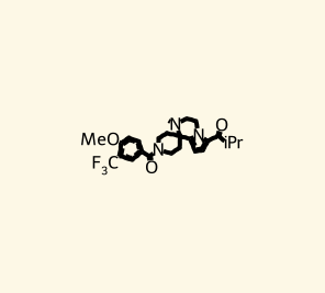 COc1ccc(C(=O)N2CCC3(CC2)c2ccc(C(=O)C(C)C)n2CCN3C)cc1C(F)(F)F